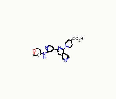 O=C(O)C1CCN(c2nc(-c3ccnc(NC4CCOCC4)c3)cc3cnccc23)CC1